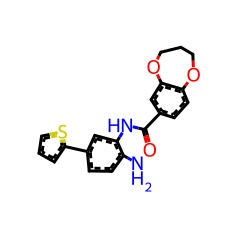 Nc1ccc(-c2cccs2)cc1NC(=O)c1ccc2c(c1)OCCCO2